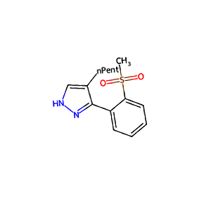 CCCCCc1c[nH]nc1-c1ccccc1S(C)(=O)=O